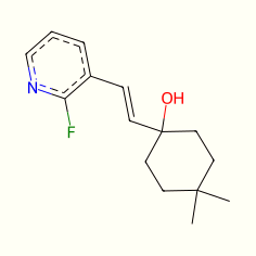 CC1(C)CCC(O)(C=Cc2cccnc2F)CC1